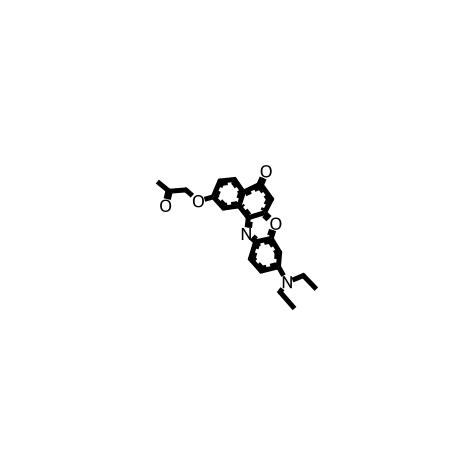 CCN(CC)c1ccc2nc3c4cc(OCC(C)=O)ccc4c(=O)cc-3oc2c1